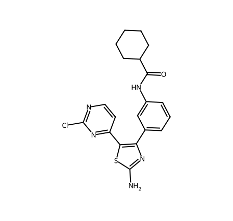 Nc1nc(-c2cccc(NC(=O)C3CCCCC3)c2)c(-c2ccnc(Cl)n2)s1